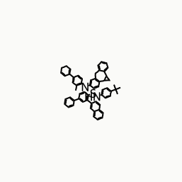 Cc1cc(C2=CCCC=C2)ccc1N1c2cc3c(cc2Sc2c(-c4cc5ccccc5cc4Nc4ccc(C(C)(C)C)cc4)cc(-c4ccccc4)cc21)C1CC1c1ccccc1C3